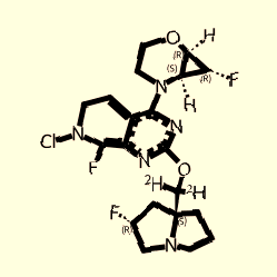 [2H]C([2H])(Oc1nc(N2CCO[C@H]3[C@H](F)[C@H]32)c2c(n1)=C(F)N(Cl)CC=2)[C@@]12CCCN1C[C@H](F)C2